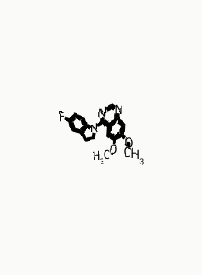 COc1cc2ncnc(N3CCc4cc(F)ccc43)c2cc1OC